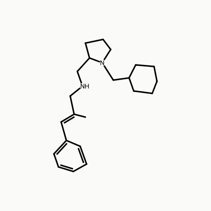 C/C(=C\c1ccccc1)CNCC1CCCN1CC1CCCCC1